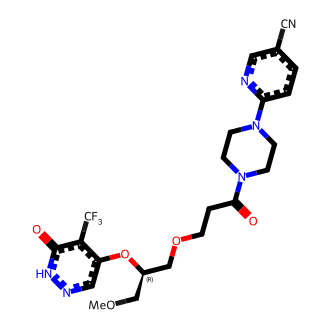 COC[C@H](COCCC(=O)N1CCN(c2ccc(C#N)cn2)CC1)Oc1cn[nH]c(=O)c1C(F)(F)F